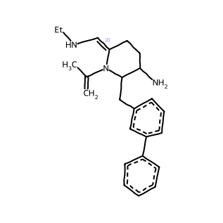 C=C(C)N1/C(=C\NCC)CCC(N)C1Cc1cccc(-c2ccccc2)c1